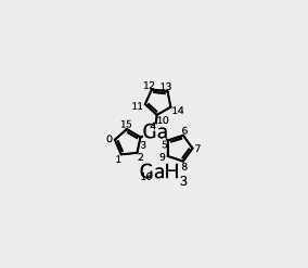 C1=CC[C]([Ga]([C]2=CC=CC2)[C]2=CC=CC2)=C1.[GaH3]